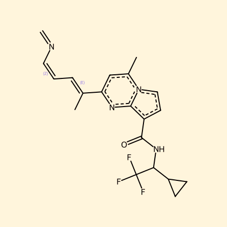 C=N/C=C\C=C(/C)c1cc(C)n2ccc(C(=O)NC(C3CC3)C(F)(F)F)c2n1